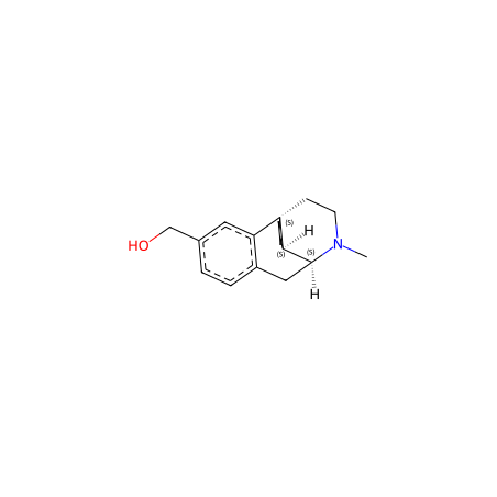 CN1CC[C@@]23CCCC[C@@H]2[C@@H]1Cc1ccc(CO)cc13